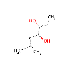 CC[C@@H](O)[C@@H](O)CC(C)C